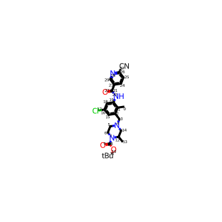 Cc1c(CN2CCN(C(=O)OC(C)(C)C)C(C)C2)cc(Cl)cc1NC(=O)c1ccc(C#N)nc1